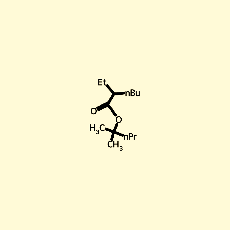 CCCCC(CC)C(=O)OC(C)(C)CCC